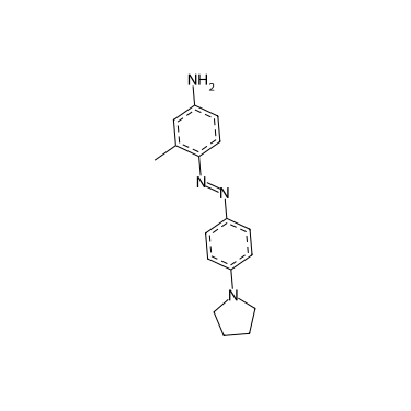 Cc1cc(N)ccc1/N=N/c1ccc(N2CCCC2)cc1